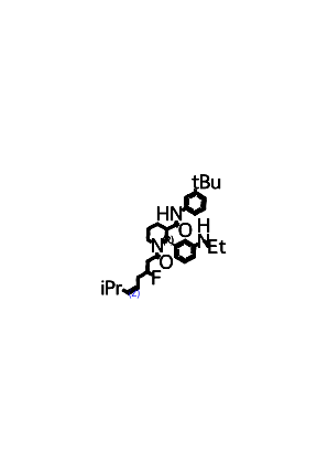 CCNc1cccc([C@H]2C(C(=O)Nc3cccc(C(C)(C)C)c3)CCCN2C(=O)CC(F)C/C=C\C(C)C)c1